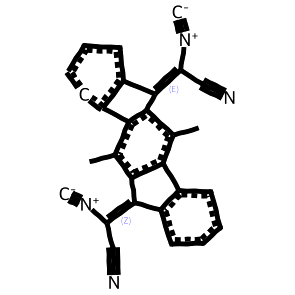 [C-]#[N+]/C(C#N)=C1/c2ccccc2-c2c(C)c3c(c(C)c21)-c1ccccc1/C3=C(/C#N)[N+]#[C-]